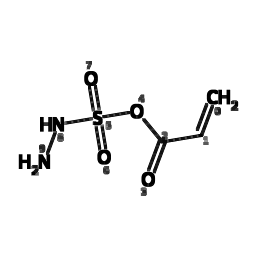 C=CC(=O)OS(=O)(=O)NN